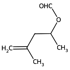 C=C(C)CC(C)OC=O